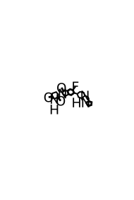 O=C1CCC(N2Cc3cc(C4CCN(Cc5ccc[nH]5)CC4)c(F)cc3C2=O)C(=O)N1